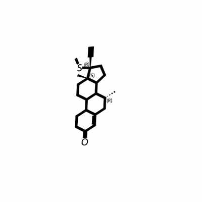 C#C[C@@]1(SC)CCC2C3C(CC[C@@]21C)C1CCC(=O)C=C1C[C@H]3C